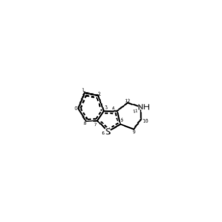 c1ccc2c3c(sc2c1)CCNC3